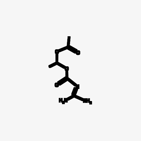 CC(=O)OC(C)OC(=O)N=C(N)N